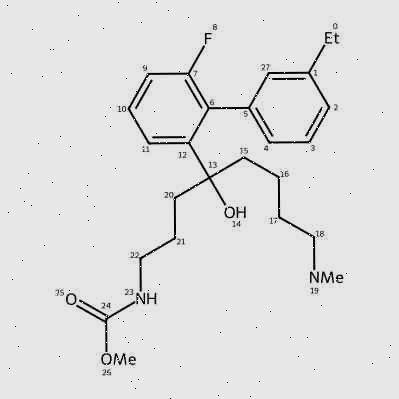 CCc1cccc(-c2c(F)cccc2C(O)(CCCCNC)CCCNC(=O)OC)c1